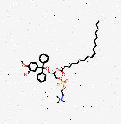 CCCCCCCC/C=C\CCCCCCCC(=O)O[C@H](COC(c1ccccc1)(c1ccccc1)c1ccc(OC)c(Br)c1)COP(=O)([O-])OCC[N+](C)(C)C